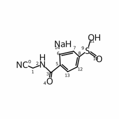 N#CCNC(=O)c1ccc(S(=O)O)cc1.[NaH]